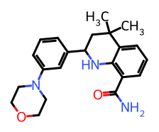 CC1(C)CC(c2cccc(N3CCOCC3)c2)Nc2c(C(N)=O)cccc21